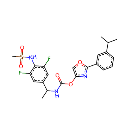 CC(C)c1cccc(-c2nc(OC(=O)NC(C)c3cc(F)c(NS(C)(=O)=O)c(F)c3)co2)c1